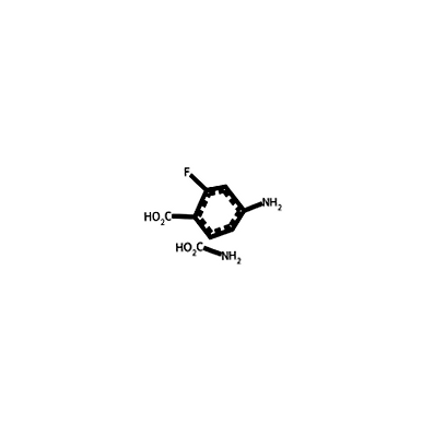 NC(=O)O.Nc1ccc(C(=O)O)c(F)c1